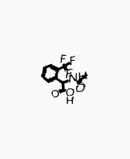 CC(=O)NC(C(=O)O)c1ccccc1C(F)(F)F